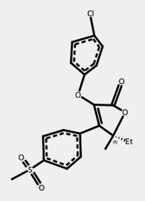 CC[C@@]1(C)OC(=O)C(Oc2ccc(Cl)cc2)=C1c1ccc(S(C)(=O)=O)cc1